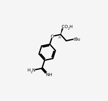 CC(C)(C)C[C@@H](Oc1ccc(C(=N)N)cc1)C(=O)O